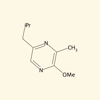 COc1ncc(CC(C)C)nc1C